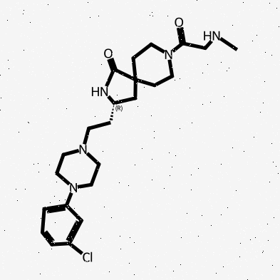 CNCC(=O)N1CCC2(CC1)C[C@H](CCN1CCN(c3cccc(Cl)c3)CC1)NC2=O